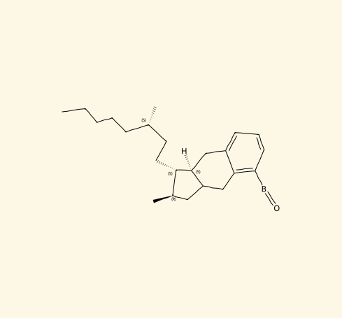 CCCCC[C@H](C)CC[C@H]1[C@H](C)CC2Cc3c(B=O)cccc3C[C@@H]21